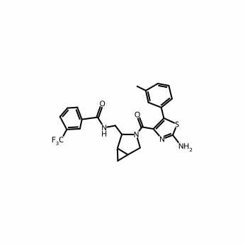 Cc1cccc(-c2sc(N)nc2C(=O)N2CC3CC3C2CNC(=O)c2cccc(C(F)(F)F)c2)c1